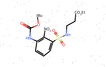 CCOC(=O)CCNS(=O)(=O)c1cccc(NC(=O)OC(C)(C)C)c1[N+](=O)[O-]